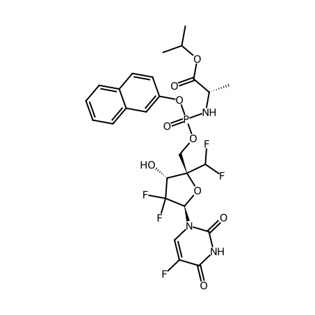 CC(C)OC(=O)[C@H](C)NP(=O)(OC[C@@]1(C(F)F)O[C@@H](n2cc(F)c(=O)[nH]c2=O)C(F)(F)[C@@H]1O)Oc1ccc2ccccc2c1